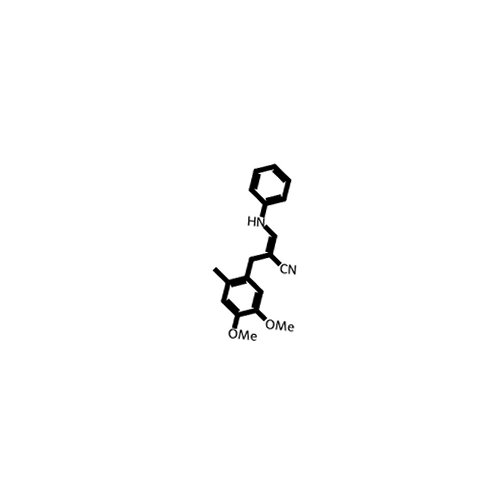 COc1cc(C)c(C/C(C#N)=C\Nc2ccccc2)cc1OC